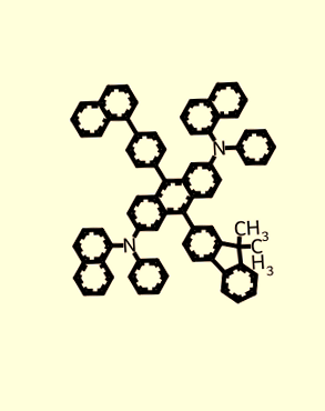 CC1(C)c2ccccc2-c2ccc(-c3c4ccc(N(c5ccccc5)c5cccc6ccccc56)cc4c(-c4ccc(-c5cccc6ccccc56)cc4)c4ccc(N(c5ccccc5)c5cccc6ccccc56)cc34)cc21